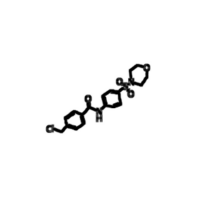 O=C(Nc1ccc(S(=O)(=O)N2CCOCC2)cc1)c1ccc(CCl)cc1